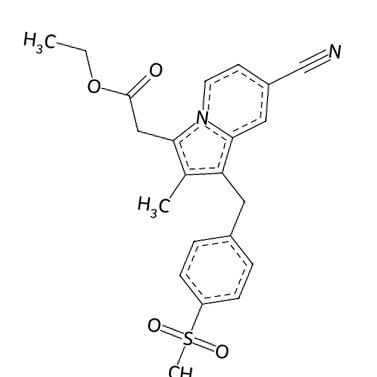 CCOC(=O)Cc1c(C)c(Cc2ccc(S(C)(=O)=O)cc2)c2cc(C#N)ccn12